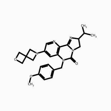 COc1ccc(CN2C(=O)N3CC(C(C)C)N=C3c3ncc(N4CC5(COC5)C4)cc32)cc1